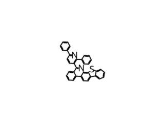 c1ccc(-c2ccc(-c3nc4c(ccc5c6ccccc6sc54)c4ccccc34)c(-c3ccccc3)n2)cc1